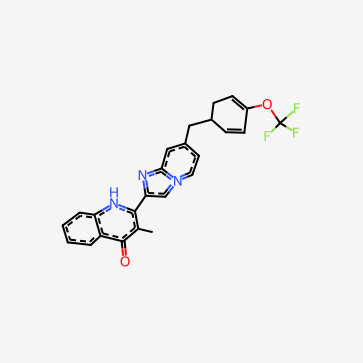 Cc1c(-c2cn3ccc(CC4C=CC(OC(F)(F)F)=CC4)cc3n2)[nH]c2ccccc2c1=O